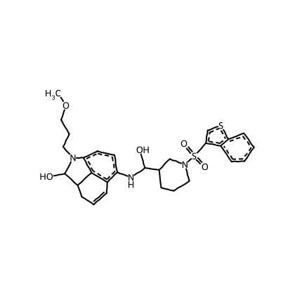 COCCCN1c2ccc(NC(O)C3CCCN(S(=O)(=O)c4csc5ccccc45)C3)c3c2C(CC=C3)C1O